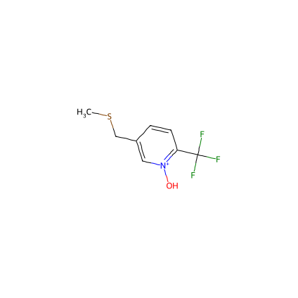 CSCc1ccc(C(F)(F)F)[n+](O)c1